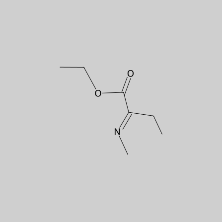 CCOC(=O)C(CC)=NC